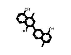 Cc1ccc(O)c2cc(-c3cc(C)c4c(O)cccc4c3O)ccc12